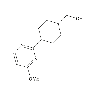 COc1ccnc(C2CCC(CO)CC2)n1